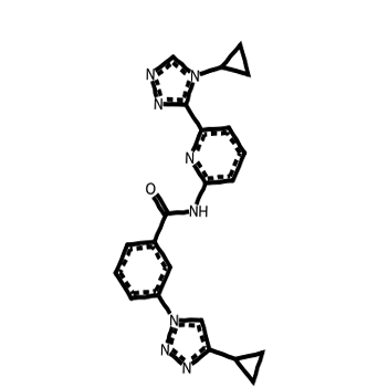 O=C(Nc1cccc(-c2nncn2C2CC2)n1)c1cccc(-n2cc(C3CC3)nn2)c1